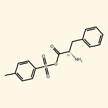 Cc1ccc(S(=O)(=O)OC(=O)[C@@H](N)Cc2ccccc2)cc1